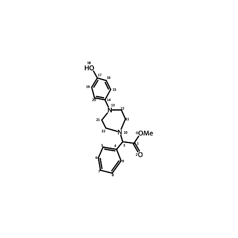 COC(=O)C(c1ccccc1)N1CCN(c2ccc(O)cc2)CC1